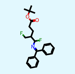 CC(C)(C)OC(=O)CCC(CF)C(F)N=C(c1ccccc1)c1ccccc1